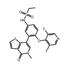 CCS(=O)(=O)Nc1ccc(Oc2c(F)cncc2F)c(-c2cn(C)c(=O)c3ccsc23)c1